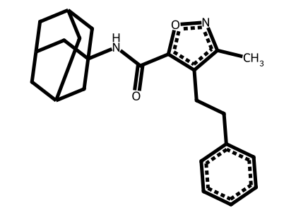 Cc1noc(C(=O)NC23CC4CC(CC(C4)C2)C3)c1CCc1ccccc1